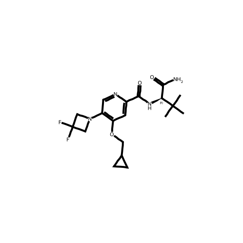 CC(C)(C)[C@@H](NC(=O)c1cc(OCC2CC2)c(N2CC(F)(F)C2)cn1)C(N)=O